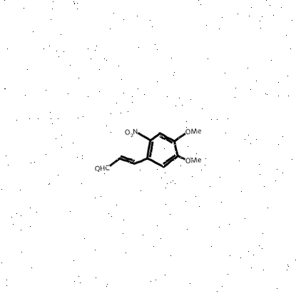 COc1cc(C=CC=O)c([N+](=O)[O-])cc1OC